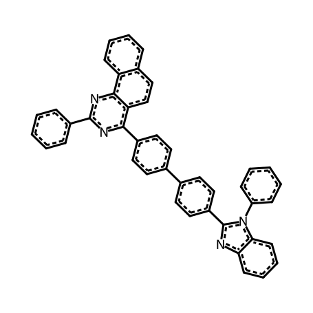 c1ccc(-c2nc(-c3ccc(-c4ccc(-c5nc6ccccc6n5-c5ccccc5)cc4)cc3)c3ccc4ccccc4c3n2)cc1